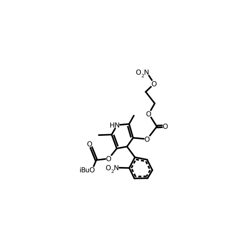 CC1=C(OC(=O)OCCO[N+](=O)[O-])C(c2ccccc2[N+](=O)[O-])C(OC(=O)OCC(C)C)=C(C)N1